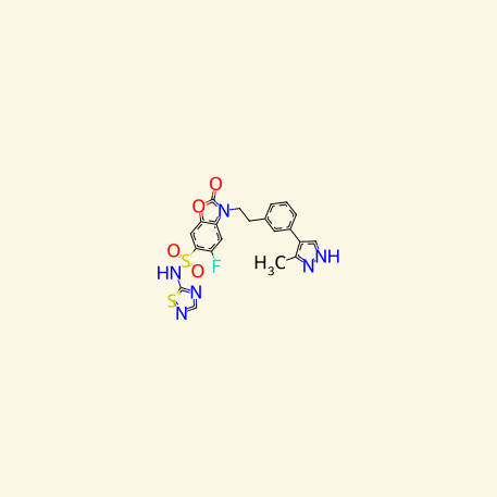 Cc1n[nH]cc1-c1cccc(CCn2c(=O)oc3cc(S(=O)(=O)Nc4ncns4)c(F)cc32)c1